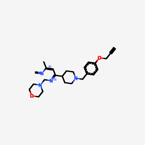 C#CCOc1ccc(CN2CCC(C(/C=C(/C)N=C)=N/CN3CCOCC3)CC2)cc1